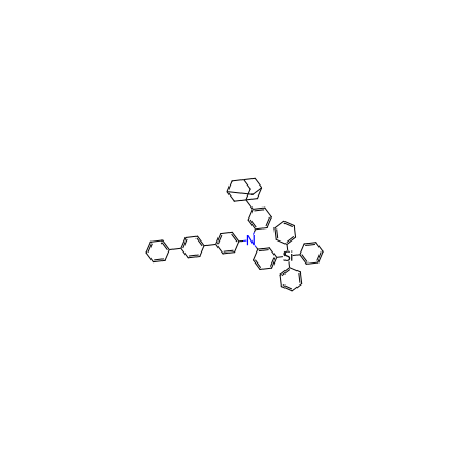 c1ccc(-c2ccc(-c3ccc(N(c4cccc(C56CC7CC(CC(C7)C5)C6)c4)c4cccc([Si](c5ccccc5)(c5ccccc5)c5ccccc5)c4)cc3)cc2)cc1